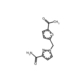 CC(=O)c1ccc(Cn2ccc(C(N)=O)n2)s1